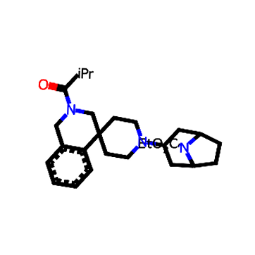 CCOC(=O)N1C2CCC1CC(N1CCC3(CC1)CN(C(=O)C(C)C)Cc1ccccc13)C2